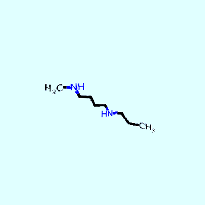 CCCNCCCCNC